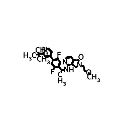 COCCN1Cc2c(ccnc2N[C@@H](C)c2cc(F)c(-c3ccnc(C(C)(C)C)c3)cc2F)C1=O